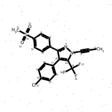 CC#Cn1nc(-c2ccc(S(C)(=O)=O)cc2)c(-c2ccc(Cl)cc2)c1C(F)(F)F